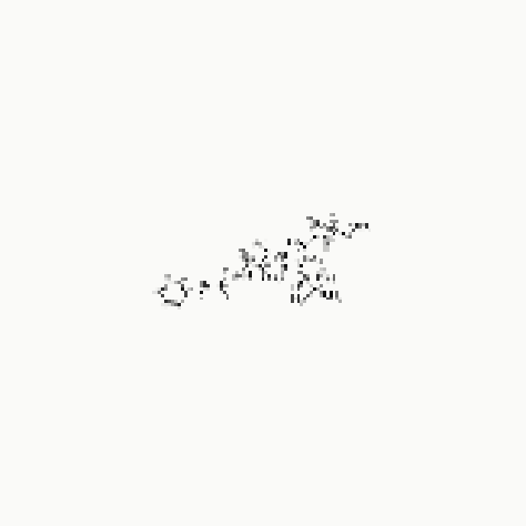 CCCC(NC(=O)[C@@H]1[C@@H]2[C@H](CN1C(=O)C(NC(=O)OC(C)(C)C)C(C)(C)C)C2(C)C)C(=O)C(=O)NCC(=O)NCc1ccccc1